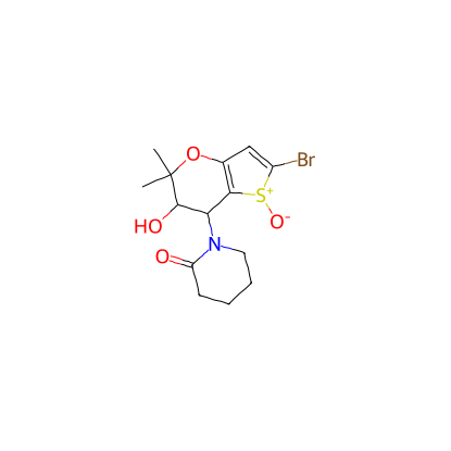 CC1(C)Oc2cc(Br)[s+]([O-])c2C(N2CCCCC2=O)C1O